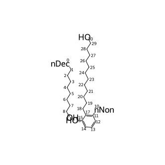 CCCCCCCCCCCCCCCCCCO.CCCCCCCCCc1cccc(O)c1CCCCCCCCCCCCO